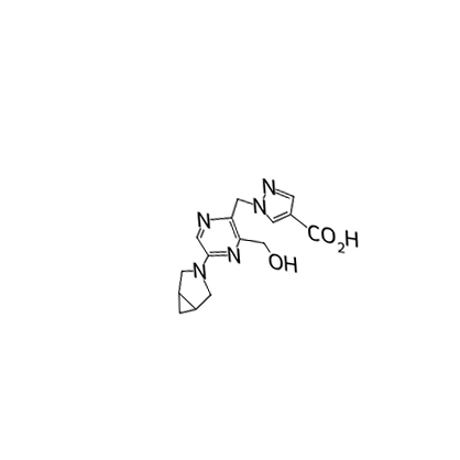 O=C(O)c1cnn(Cc2ncc(N3CC4CC4C3)nc2CO)c1